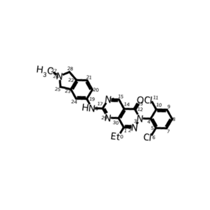 CCc1nn(-c2c(Cl)cccc2Cl)c(=O)c2cnc(Nc3ccc4c(c3)CN(C)C4)nc12